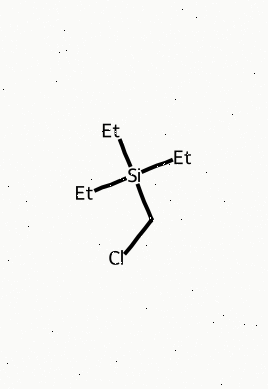 CC[Si](CC)(CC)CCl